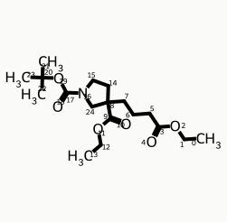 CCOC(=O)CCCC1(C(=O)OCC)CCN(C(=O)OC(C)(C)C)C1